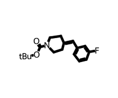 CC(C)(C)OC(=O)N1CCC(=Cc2cccc(F)c2)CC1